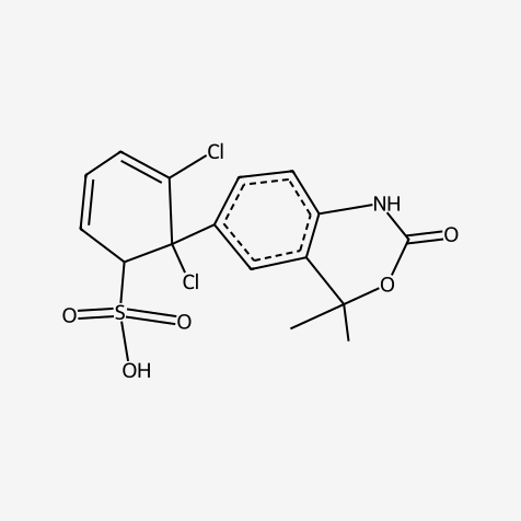 CC1(C)OC(=O)Nc2ccc(C3(Cl)C(Cl)=CC=CC3S(=O)(=O)O)cc21